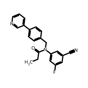 CCC(=O)N(Cc1ccc(-c2cccnc2)cc1)c1cc(F)cc(C#N)c1